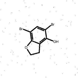 Oc1c(Br)cc(Br)c2c1CCO2